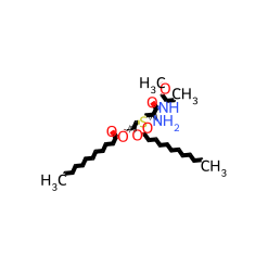 CCCCCCCCCCCC(=O)OC[C@H](CSC[C@H](N)C(=O)NC(CC)COC)OC(=O)CCCCCCCCCCC